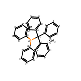 [SiH3]c1ccccc1C(c1ccccc1)(c1ccccc1)P(c1ccccc1)c1ccccc1